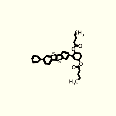 CCCCC(=O)OC1C=C(c2ccc3c(c2)sc2c4ccc(-c5ccccc5)cc4sc32)C(OC(=O)CCCC)CC1